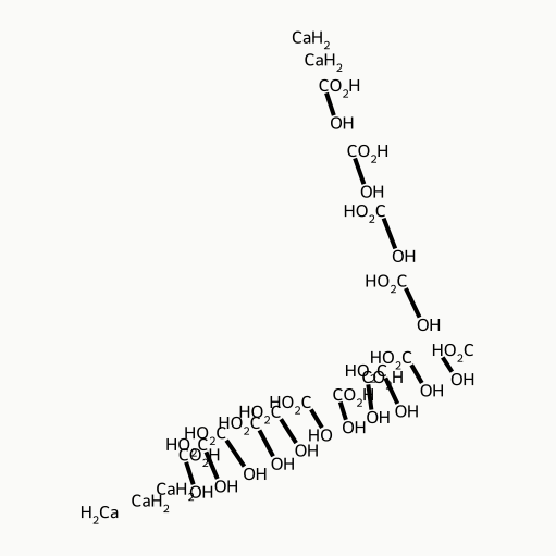 O=C(O)O.O=C(O)O.O=C(O)O.O=C(O)O.O=C(O)O.O=C(O)O.O=C(O)O.O=C(O)O.O=C(O)O.O=C(O)O.O=C(O)O.O=C(O)O.O=C(O)O.O=C(O)O.O=C(O)O.[CaH2].[CaH2].[CaH2].[CaH2].[CaH2]